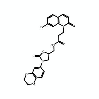 O=C(CCn1c(=O)ccc2ccc(Br)cc21)NCC1CN(c2ccc3c(c2)OCCO3)C(=O)O1